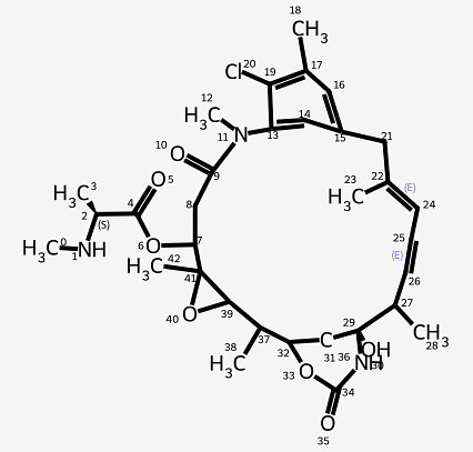 CN[C@@H](C)C(=O)OC1CC(=O)N(C)c2cc(cc(C)c2Cl)C/C(C)=C/C=C/C(C)C2(O)CC(OC(=O)N2)C(C)C2OC12C